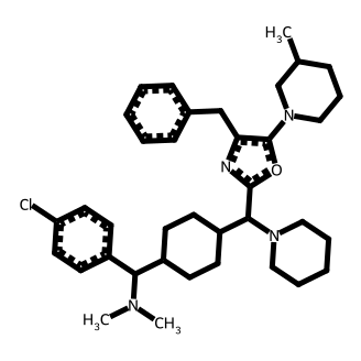 CC1CCCN(c2oc(C(C3CCC(C(c4ccc(Cl)cc4)N(C)C)CC3)N3CCCCC3)nc2Cc2ccccc2)C1